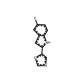 Fc1ccc2[nH]c(-c3cnco3)cc2c1